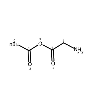 CCCCC(=O)OC(=O)CN